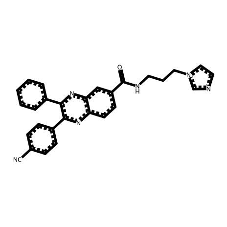 N#Cc1ccc(-c2nc3ccc(C(=O)NCCCn4ccnc4)cc3nc2-c2ccccc2)cc1